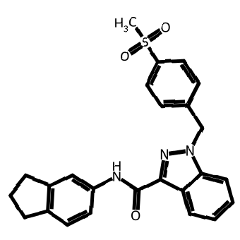 CS(=O)(=O)c1ccc(Cn2nc(C(=O)Nc3ccc4c(c3)CCC4)c3ccccc32)cc1